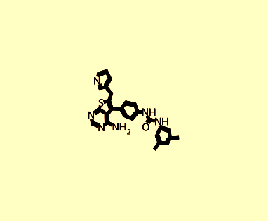 Cc1cc(C)cc(NC(=O)Nc2ccc(-c3c(Cc4cccnc4)sc4ncnc(N)c34)cc2)c1